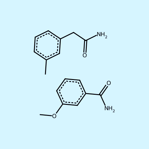 COc1cccc(C(N)=O)c1.Cc1cccc(CC(N)=O)c1